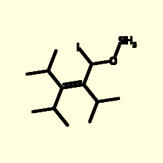 CC(C)C(=C(C(C)C)C(I)O[SiH3])C(C)C